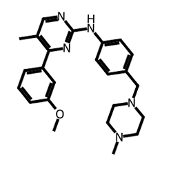 COc1cccc(-c2nc(Nc3ccc(CN4CCN(C)CC4)cc3)ncc2C)c1